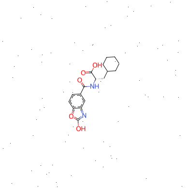 O=C(N[C@@H](CC1CCCCC1)C(=O)O)c1ccc2oc(O)nc2c1